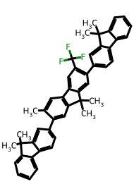 Cc1cc2c(cc1-c1ccc3c(c1)C(C)(C)c1ccccc1-3)C(C)(C)c1cc(-c3ccc4c(c3)C(C)(C)c3ccccc3-4)c(C(F)(F)F)cc1-2